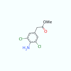 COC(=O)Cc1cc(Cl)c(N)c(Cl)c1